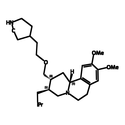 COc1cc2c(cc1OC)[C@H]1C[C@@H](COCCC3CCNCC3)[C@H](CC(C)C)CN1CC2